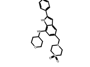 O=S1(=O)CCN(Cc2cc(NC3CCOCC3)c3[nH]c(-c4ccccc4)cc3c2)CC1